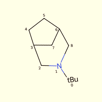 CC(C)(C)N1CC2CCC(C2)C1